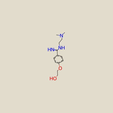 CN(C)CCNC(=N)c1ccc(OCCO)cc1